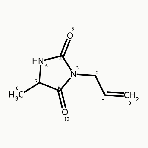 C=CCN1C(=O)NC(C)C1=O